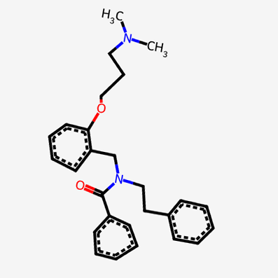 CN(C)CCCOc1ccccc1CN(CCc1ccccc1)C(=O)c1ccccc1